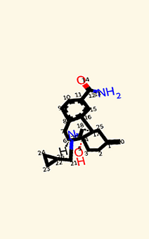 C=C1CC[C@@]2(O)[C@H]3Cc4ccc(C(N)=O)cc4[C@@]2(CCN3CC2CC2)C1